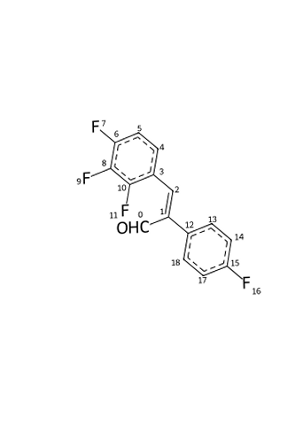 O=CC(=Cc1ccc(F)c(F)c1F)c1ccc(F)cc1